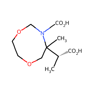 C[C@@H](C(=O)O)C1(C)COCCOCN1C(=O)O